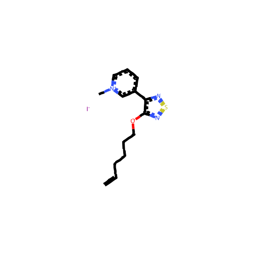 C=CCCCCOc1nsnc1-c1ccc[n+](C)c1.[I-]